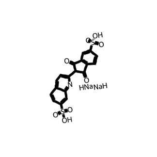 O=C1c2ccc(S(=O)(=O)O)cc2C(=O)C1c1ccc2ccc(S(=O)(=O)O)cc2n1.[NaH].[NaH]